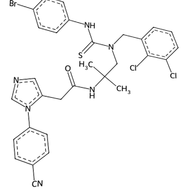 CC(C)(CN(Cc1cccc(Cl)c1Cl)C(=S)Nc1ccc(Br)cc1)NC(=O)Cc1cncn1-c1ccc(C#N)cc1